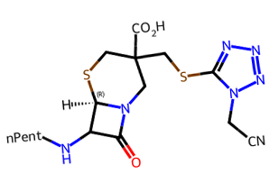 CCCCCNC1C(=O)N2CC(CSc3nnnn3CC#N)(C(=O)O)CS[C@H]12